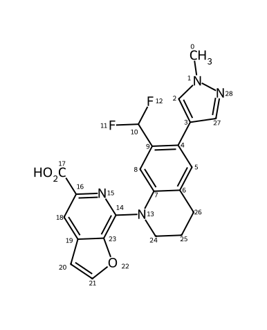 Cn1cc(-c2cc3c(cc2C(F)F)N(c2nc(C(=O)O)cc4ccoc24)CCC3)cn1